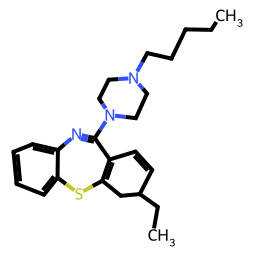 CCCCCN1CCN(C2=Nc3ccccc3SC3=C2C=CC(CC)C3)CC1